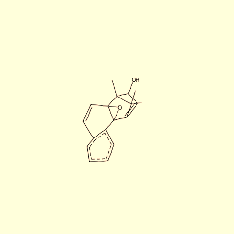 CC1(C)C2=CC(O)C1(C)C13C=Cc4ccccc4C21O3